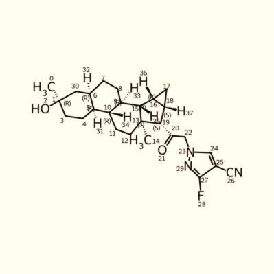 C[C@@]1(O)CC[C@H]2[C@H](CC[C@@H]3[C@@H]2CC[C@@]2(C)[C@H]3[C@@H]3C[C@@H]3[C@@H]2C(=O)Cn2cc(C#N)c(F)n2)C1